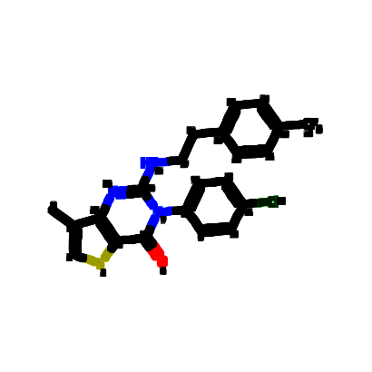 Cc1csc2c(=O)n(-c3ccc(Cl)cc3)c(NCCc3ccc(C(F)(F)F)cc3)nc12